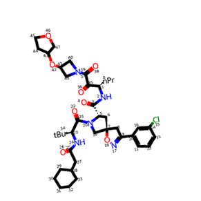 CCC[C@H](NC(=O)[C@@H]1C[C@]2(CC(c3cccc(Cl)c3)=NO2)CN1C(=O)[C@@H](NC(=O)CC1CCCCC1)C(C)(C)C)C(=O)C(=O)N1CC(OC2CCOC2)C1